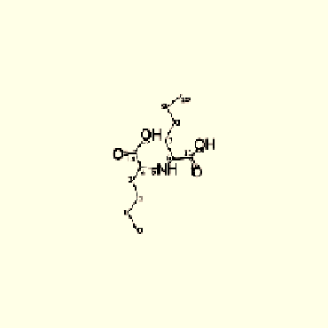 CCCCC(NC(CCCC)C(=O)O)C(=O)O